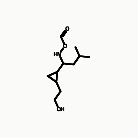 CC(C)CC(NOC=O)C1CC1CCO